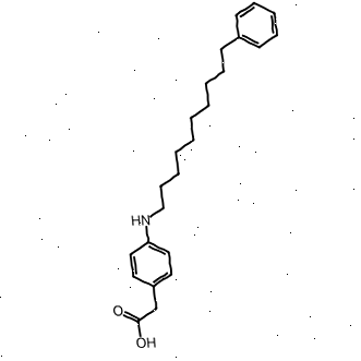 O=C(O)Cc1ccc(NCCCCCCCCCCc2ccccc2)cc1